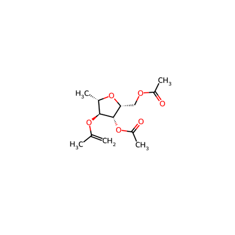 C=C(C)O[C@@H]1[C@@H](OC(C)=O)[C@@H](COC(C)=O)O[C@H]1C